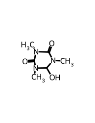 CN1C(=O)N(C)C(O)N(C)C1=O